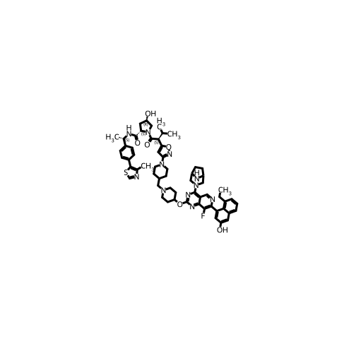 CCc1cccc2cc(O)cc(-c3ncc4c(N5CC6CCC(C5)N6)nc(OC5CCN(CC6CCN(c7cc([C@@H](C(=O)N8C[C@H](O)C[C@H]8C(=O)N[C@@H](C)c8ccc(-c9scnc9C)cc8)C(C)C)on7)CC6)CC5)nc4c3F)c12